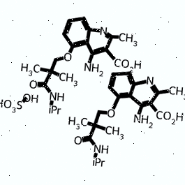 Cc1nc2cccc(OCC(C)(C)C(=O)NC(C)C)c2c(N)c1C(=O)O.Cc1nc2cccc(OCC(C)(C)C(=O)NC(C)C)c2c(N)c1C(=O)O.O=S(=O)(O)O